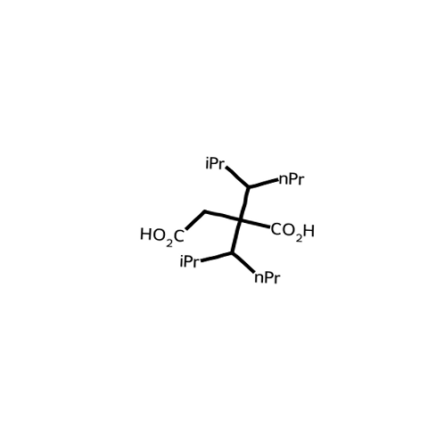 CCCC(C(C)C)C(CC(=O)O)(C(=O)O)C(CCC)C(C)C